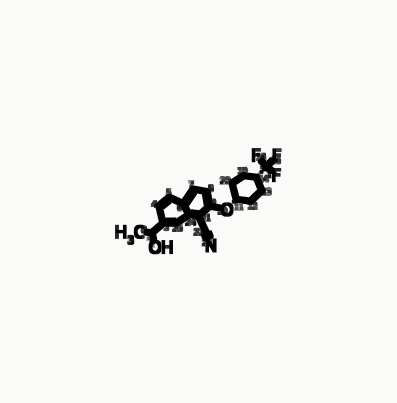 CC(O)c1ccc2ccc(O[C@H]3CC[C@@H](C(F)(F)F)CC3)c(C#N)c2c1